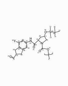 CC(C)(C)OC(=O)N1CC(O[Si](C)(C)C(C)(C)C)CC1C(=O)Nc1cc(F)c2c(c1)CC(C=O)C2